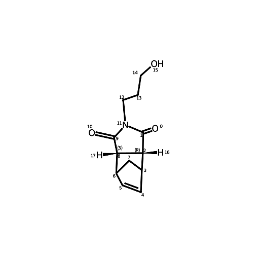 O=C1[C@@H]2C3C=CC(C3)[C@@H]2C(=O)N1CCCO